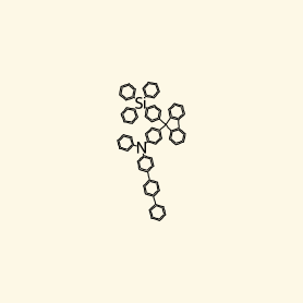 c1ccc(-c2ccc(-c3ccc(N(c4ccccc4)c4ccc(C5(c6ccc([Si](c7ccccc7)(c7ccccc7)c7ccccc7)cc6)c6ccccc6-c6ccccc65)cc4)cc3)cc2)cc1